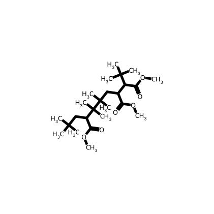 COC(=O)C(CC(C)(C)C(C)(C)C(CC(C)(C)C)C(=O)OC)C(C(=O)OC)C(C)(C)C